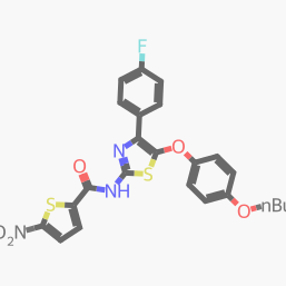 CCCCOc1ccc(Oc2sc(NC(=O)c3ccc([N+](=O)[O-])s3)nc2-c2ccc(F)cc2)cc1